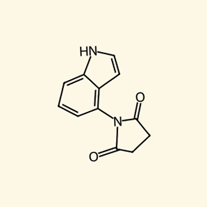 O=C1CCC(=O)N1c1cccc2[nH]ccc12